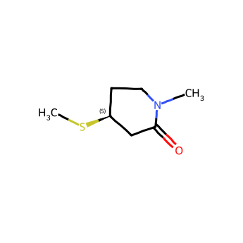 CS[C@H]1CCN(C)C(=O)C1